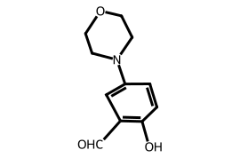 O=Cc1cc(N2CCOCC2)ccc1O